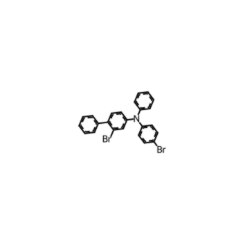 Brc1ccc(N(c2ccccc2)c2ccc(-c3ccccc3)c(Br)c2)cc1